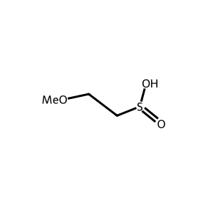 COCCS(=O)O